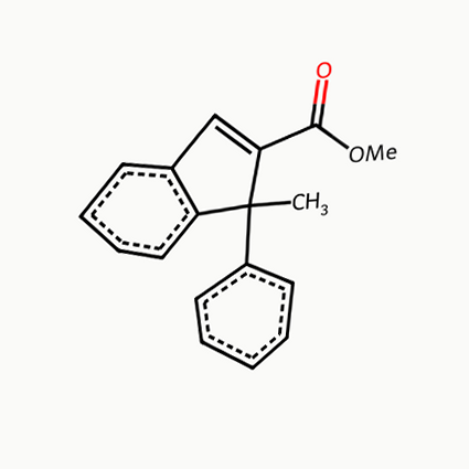 COC(=O)C1=Cc2ccccc2C1(C)c1ccccc1